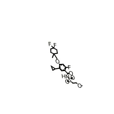 COCCS(=O)(=O)NC(=O)c1cc(C2CC2)c(OCC2(C)CCC(F)(F)CC2)cc1F